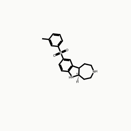 Cc1cccc(S(=O)(=O)c2ccc3c(c2)C2CCNCC[C@H]2N3)c1